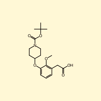 COc1c(CC(=O)O)cccc1OC1CCN(C(=O)OC(C)(C)C)CC1